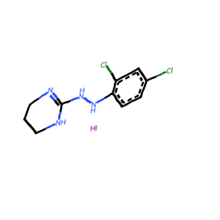 Clc1ccc(NNC2=NCCCN2)c(Cl)c1.I